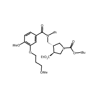 CCOC(=O)[C@@H]1CN(C(=O)OC(C)(C)C)C[C@H]1CN(C(=O)c1ccc(OC)c(OCCCOC)c1)C(C)C